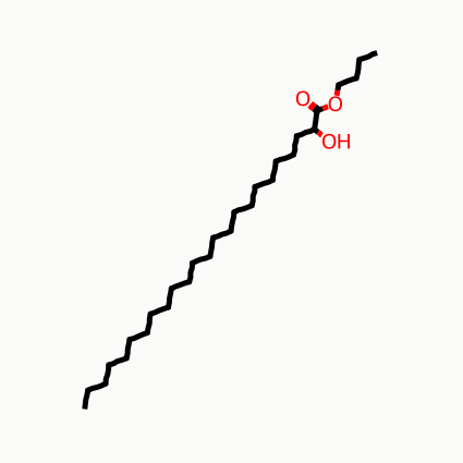 CCCCCCCCCCCCCCCCCCCCCCC(O)C(=O)OCCCC